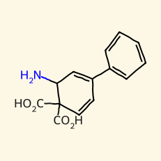 NC1C=C(c2ccccc2)C=CC1(C(=O)O)C(=O)O